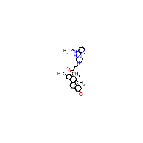 CCNc1cccnc1N1CCN(CCCC(=O)[C@H]2[C@H](C)C[C@H]3[C@@H]4CCC5=CC(=O)CC[C@]5(C)C4=CC[C@@]32C)CC1